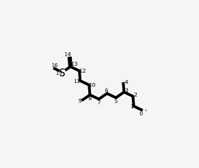 [CH2]CCC(C)CCCC(C)CCCC(=C)SC